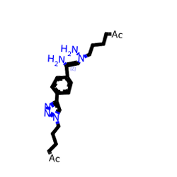 CC(=O)CCCCN(N)/C=C(\N)c1ccc(-c2cn(CCCCC(C)=O)nn2)cc1